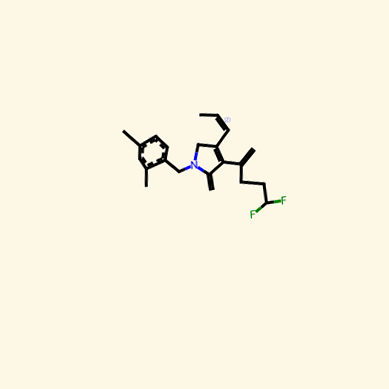 C=C(CCC(F)F)C1=C(/C=C\C)CN(Cc2ccc(C)cc2C)C1=C